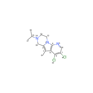 Cc1c2n(c3ncc(Cl)c(Cl)c13)CCN(C(C)C)C2